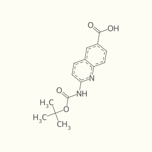 CC(C)(C)OC(=O)Nc1ccc2cc(C(=O)O)ccc2n1